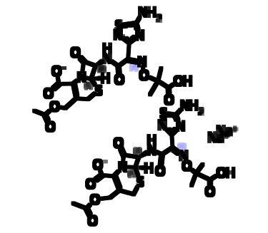 CC(=O)OCC1=C(C(=O)[O-])N2C(=O)[C@@H](NC(=O)/C(=N\OC(C)(C)C(=O)O)c3nsc(N)n3)[C@@H]2SC1.CC(=O)OCC1=C(C(=O)[O-])N2C(=O)[C@@H](NC(=O)/C(=N\OC(C)(C)C(=O)O)c3nsc(N)n3)[C@@H]2SC1.[Na+].[Na+]